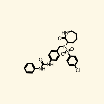 O=C(Nc1ccccc1)Nc1ccc(CN([C@@H]2CCCCNC2=O)S(=O)(=O)c2ccc(Cl)cc2)cc1